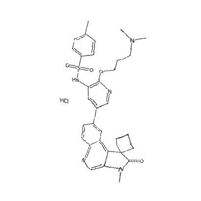 Cc1ccc(S(=O)(=O)Nc2cc(-c3ccc4ncc5c(c4c3)C3(CCC3)C(=O)N5C)cnc2OCCCN(C)C)cc1.Cl